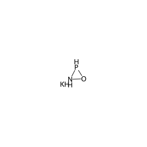 [KH].[nH]1o[pH]1